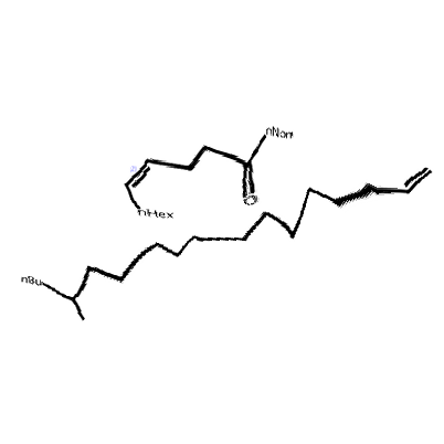 C=CCCCCCCCCCCCC(C)CCCC.CCCCCC/C=C\CCC(=O)CCCCCCCCC